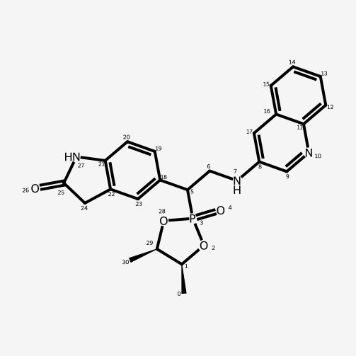 C[C@@H]1OP(=O)(C(CNc2cnc3ccccc3c2)c2ccc3c(c2)CC(=O)N3)O[C@@H]1C